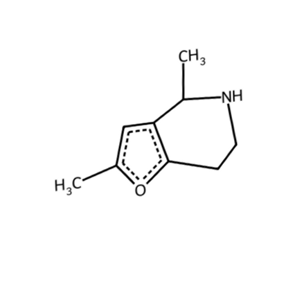 Cc1cc2c(o1)CCNC2C